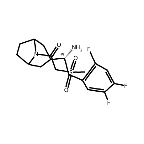 CS(=O)(=O)CC(=O)N1C2CCC1CC([C@H](N)Cc1cc(F)c(F)cc1F)C2